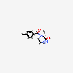 Cc1ccc(C(=O)N2CCNC(=O)[C@H]2C)cc1